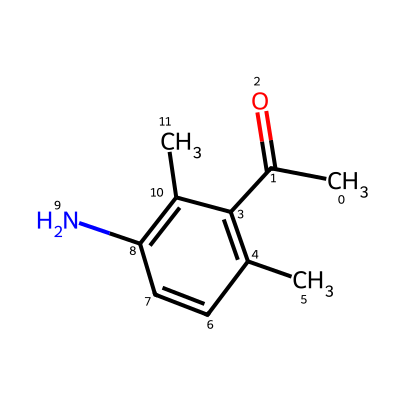 CC(=O)c1c(C)ccc(N)c1C